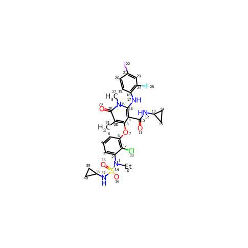 CCN(c1cccc(Oc2c(C(=O)NC3CC3)c(Nc3ccc(I)cc3F)n(C)c(=O)c2C)c1Cl)S(=O)(=O)NC1CC1